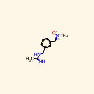 CC(=N)NCc1cccc(/C=[N+](\[O-])C(C)(C)C)c1